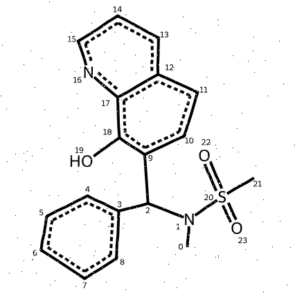 CN(C(c1ccccc1)c1ccc2cccnc2c1O)S(C)(=O)=O